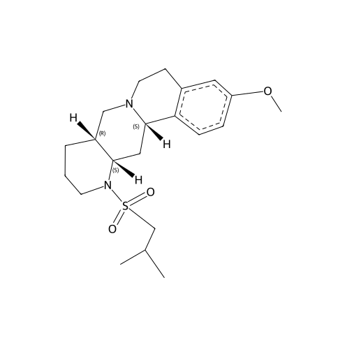 COc1ccc2c(c1)CCN1C[C@H]3CCCN(S(=O)(=O)CC(C)C)[C@H]3C[C@@H]21